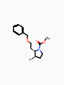 CC[C@@H]1CCN(C(=O)OC(C)(C)C)[C@@H]1CCOCc1ccccc1